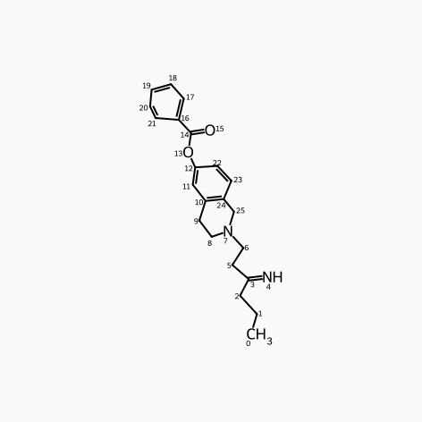 CCCC(=N)CCN1CCc2cc(OC(=O)c3ccccc3)ccc2C1